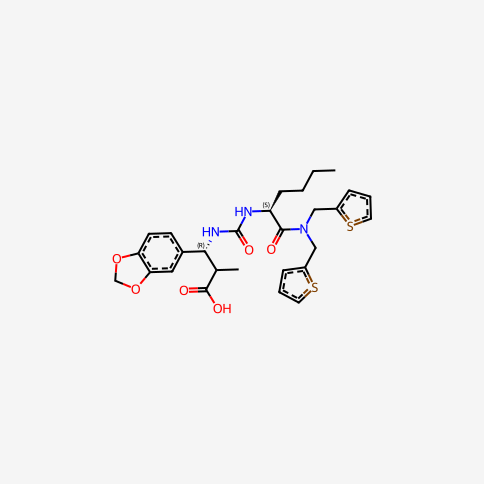 CCCC[C@H](NC(=O)N[C@@H](c1ccc2c(c1)OCO2)C(C)C(=O)O)C(=O)N(Cc1cccs1)Cc1cccs1